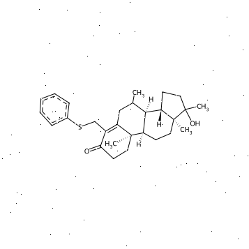 CC1CC2=C(CSc3ccccc3)C(=O)CC[C@]2(C)[C@@H]2CC[C@@]3(C)[C@@H](CCC3(C)O)[C@H]12